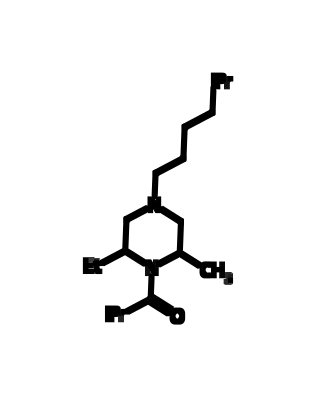 CCC1CN(CCCCC(C)C)CC(C)N1C(=O)C(C)C